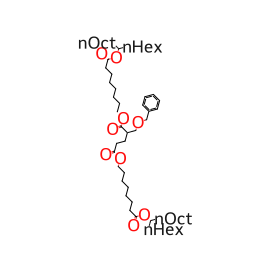 CCCCCCCCC(CCCCCC)OC(=O)CCCCCCCOC(=O)CCC(COCc1ccccc1)C(=O)OCCCCCCCC(=O)OC(CCCCCC)CCCCCCCC